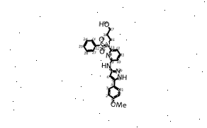 COc1ccc(-c2cc(Nc3cccc(N(CCCO)S(=O)(=O)c4ccccc4)n3)n[nH]2)cc1